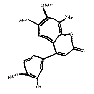 COc1ccc(-c2cc(=O)oc3c(OC)c(OC)c(OC)cc23)cc1O